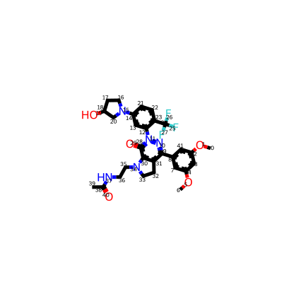 COc1cc(OC)cc(-c2nn(-c3cc(N4CCC(O)C4)ccc3C(F)(F)F)c(=O)c3c2CCN3CCNC(C)=O)c1